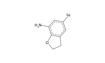 [2H]c1cc(N)c2c(c1)CCO2